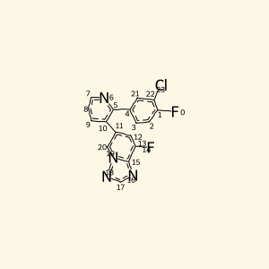 Fc1ccc(-c2ncccc2-c2cc(F)c3ncnn3c2)cc1Cl